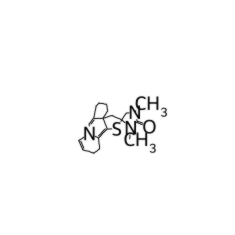 CN1CC2(CC34CCCCC3=CN3C=CCCC3=C4S2)N(C)C1=O